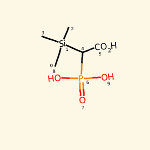 C[Si](C)(C)C(C(=O)O)P(=O)(O)O